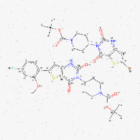 CC(C)(C)OC(=O)N1CCC(n2c(=O)[nH]c3cc(Br)sc3c2=O)CC1.COc1cc(F)ccc1-c1cc2[nH]c(=O)n(C3CCN(C(=O)OC(C)(C)C)CC3)c(=O)c2s1